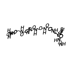 O=C(Cn1ccc2cc(C(=O)NCCc3ccc(N4C[C@H]5CC[C@@H](C4)N5)cc3)cnc21)NCCOCCNC(=O)c1ccc(NCC#Cc2cc3c(NC4CCNCC4)cccc3n2CC(F)(F)F)cc1